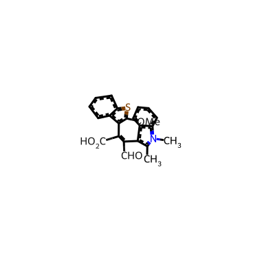 COc1sc2ccccc2c1/C(C(=O)O)=C(/C=O)c1c(C)n(C)c2ccccc12